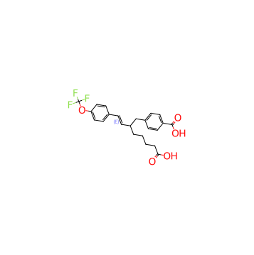 O=C(O)CCCCC(/C=C/c1ccc(OC(F)(F)F)cc1)Cc1ccc(C(=O)O)cc1